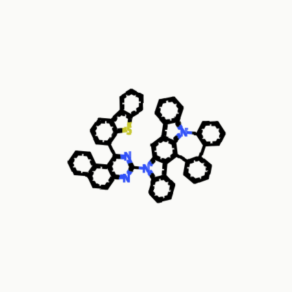 c1ccc2c(c1)-c1ccccc1-n1c3ccccc3c3cc4c(c-2c31)c1ccccc1n4-c1nc(-c2cccc3c2sc2ccccc23)c2c(ccc3ccccc32)n1